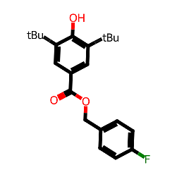 CC(C)(C)c1cc(C(=O)OCc2ccc(F)cc2)cc(C(C)(C)C)c1O